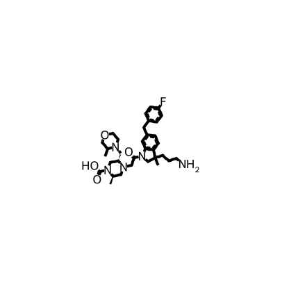 CC1COCCN1C[C@H]1CN(C(=O)O)[C@H](C)CN1CC(=O)N1CC(C)(CCCN)c2ccc(Cc3ccc(F)cc3)cc21